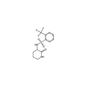 O=C1NCCCC1NS(=O)(=O)c1ccccc1C(F)(F)F